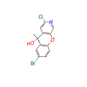 CC1(O)c2cc(Br)ccc2Oc2cnc(Cl)cc21